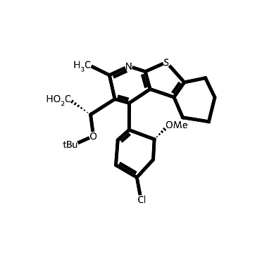 CO[C@@H]1CC(Cl)=CC=C1c1c([C@H](OC(C)(C)C)C(=O)O)c(C)nc2sc3c(c12)CCCC3